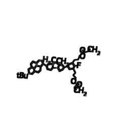 C=CC(=O)OCCCc1cc(-c2ccc3c(c2)C(C)(C)c2cc(-c4ccc5ccc6cc(C(C)(C)C)cc7ccc4c5c67)ccc2-3)cc(CCCOC(=O)C=C)c1F